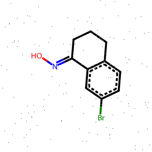 ON=C1CCCc2ccc(Br)cc21